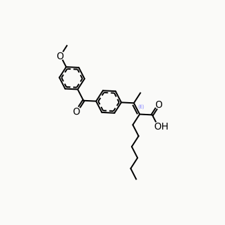 CCCCCC/C(C(=O)O)=C(/C)c1ccc(C(=O)c2ccc(OC)cc2)cc1